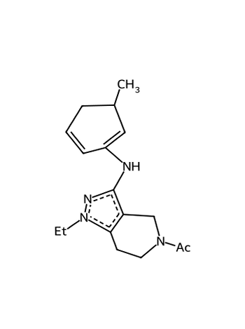 CCn1nc(NC2=CC(C)CC=C2)c2c1CCN(C(C)=O)C2